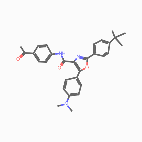 CC(=O)c1ccc(NC(=O)c2nc(-c3ccc(C(C)(C)C)cc3)oc2-c2ccc(N(C)C)cc2)cc1